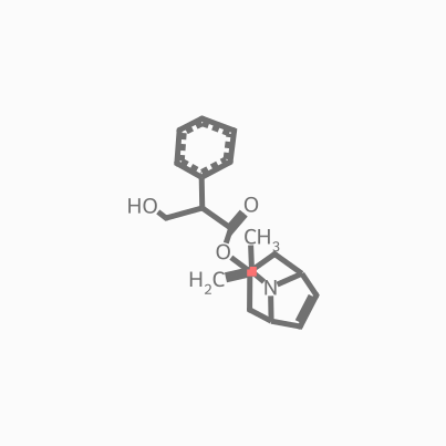 C=C(C)N1C2C=CC1CC(OC(=O)C(CO)c1ccccc1)C2